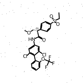 CCS(=O)(=O)c1ccc([C@@H](COC)C(=O)Nc2cc(Cl)c(-c3ccccc3OC(F)(F)F)c(Cl)c2)cc1